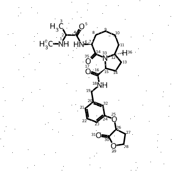 CNC(C)C(=O)N[C@H]1CCCC[C@H]2CC[C@@H](C(=O)NCc3cccc(OC4CCOC4=O)c3)N2C1=O